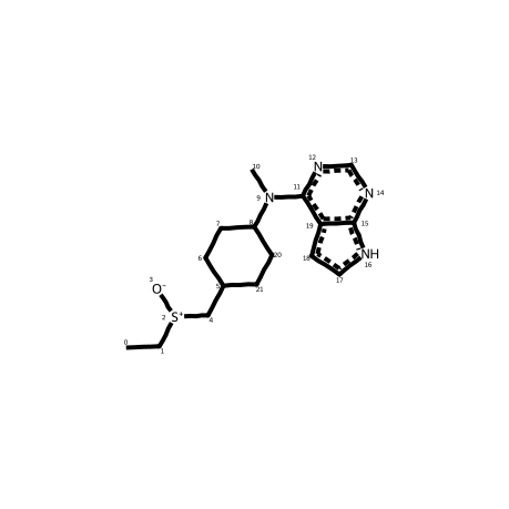 CC[S+]([O-])CC1CCC(N(C)c2ncnc3[nH]ccc23)CC1